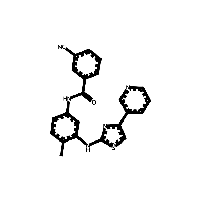 Cc1ccc(NC(=O)c2cccc(C#N)c2)cc1Nc1nc(-c2cccnc2)cs1